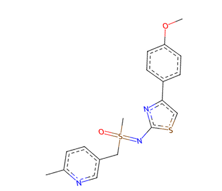 COc1ccc(-c2csc(N=S(C)(=O)Cc3ccc(C)nc3)n2)cc1